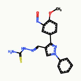 COc1ccc(-c2nn(-c3ccccc3)cc2/C=N/NC(N)=S)cc1N=O